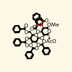 CO[C@H]1O[C@H](COC(C)=O)[C@@H](O[C@@H]2O[C@H](COC(=O)c3ccccc3)[C@H](OC(=O)c3ccccc3)[C@H](OC(=O)c3ccccc3)[C@H]2OC(=O)c2ccccc2)[C@H](OC(=O)c2ccccc2)[C@@H]1N1C(=O)c2ccccc2C1=O